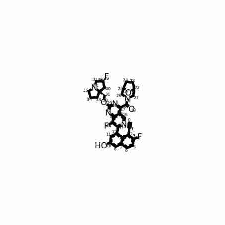 C#Cc1c(F)ccc2cc(O)cc(-c3ncc4c(C(=O)N5CC6CCC(C5)O6)nc(OC[C@@]56CCCN5C[C@H](F)C6)nc4c3F)c12